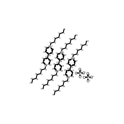 CCCCCCC[n+]1ccc(-c2cc[n+](CCCCCCC)cc2)cc1.CCCCCCC[n+]1ccc(-c2cc[n+](CCCCCCC)cc2)cc1.CCCCCCC[n+]1ccc(-c2cc[n+](CCCCCCC)cc2)cc1.O=P([O-])([O-])[O-].O=P([O-])([O-])[O-]